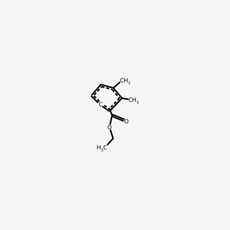 CCOC(=O)c1cccc(C)c1C